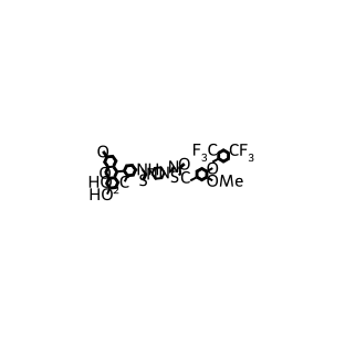 COc1cc(C=C=C2SC(N3CCN(C(=S)Nc4ccc(-c5c6ccc(=O)cc-6oc6cc(O)ccc56)c(C(=O)O)c4)CC3)=NC2=O)ccc1OCc1ccc(C(F)(F)F)cc1C(F)(F)F